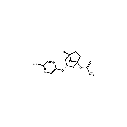 CCCCc1cnc(O[C@@H]2C[C@@H]3CC[C@@](OC(=O)C(F)(F)F)(C2)N3)cn1